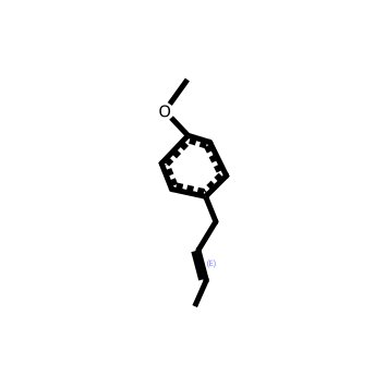 C/C=C/Cc1ccc(OC)cc1